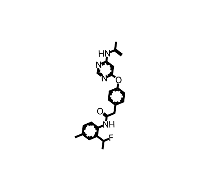 C=C(C)Nc1cc(Oc2ccc(CC(=O)Nc3ccc(C)cc3C(C)F)cc2)ncn1